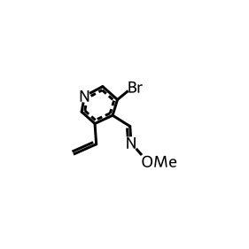 C=Cc1cncc(Br)c1C=NOC